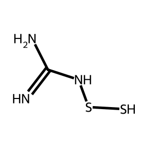 N=C(N)NSS